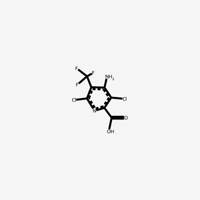 Nc1c(Cl)c(C(=O)O)nc(Cl)c1C(F)(F)F